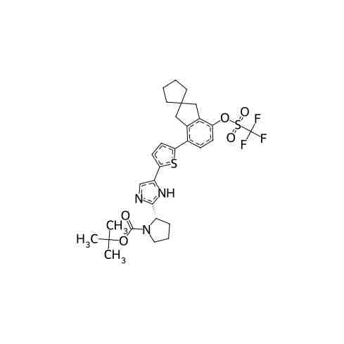 CC(C)(C)OC(=O)N1CCC[C@H]1c1ncc(-c2ccc(-c3ccc(OS(=O)(=O)C(F)(F)F)c4c3CC3(CCCC3)C4)s2)[nH]1